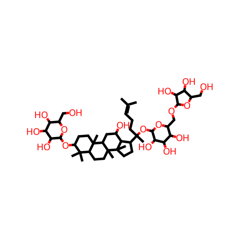 CC(C)=CCCC(C)(OC1OC(COC2OC(CO)C(O)C2O)C(O)C(O)C1O)C1CCC2(C)C1C(O)CC1C3(C)CCC(OC4OC(CO)C(O)C(O)C4O)C(C)(C)C3CCC12C